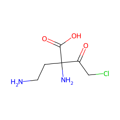 NCCC(N)(C(=O)O)C(=O)CCl